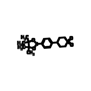 CC1(C)OB(c2ccc(C3CCS(=O)(=O)CC3)cc2)OC1(C)C